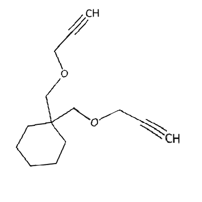 C#CCOCC1(COCC#C)CCCCC1